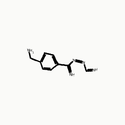 N=C/N=N\C(=N)c1ccc(CN)cc1